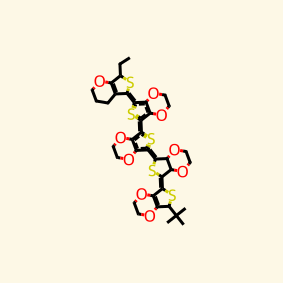 CCC1S/C(=c2/s/c(=c3/s/c(=C4/S/C(=C5/SC(C(C)(C)C)C6=C5OCCO6)C5OCCOC45)c4c3OCCO4)c3c2OCCO3)C2=C1OCCC2